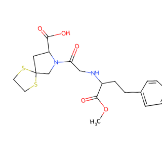 COC(=O)C(CCc1ccccc1)NCC(=O)N1CC2(CC1C(=O)O)SCCS2